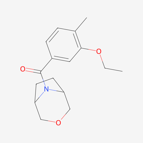 CCOc1cc(C(=O)N2C3CCC2COC3)ccc1C